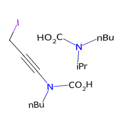 CCCCN(C#CCI)C(=O)O.CCCCN(C(=O)O)C(C)C